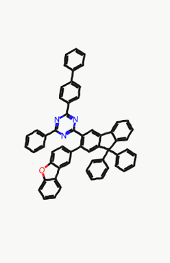 c1ccc(-c2ccc(-c3nc(-c4ccccc4)nc(-c4cc5c(cc4-c4ccc6oc7ccccc7c6c4)C(c4ccccc4)(c4ccccc4)c4ccccc4-5)n3)cc2)cc1